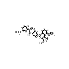 Cc1cc(OCc2c(-c3ccccc3OC(F)(F)F)noc2C(C)C)ccc1N(C)C(=O)c1cccc(C(=O)O)c1